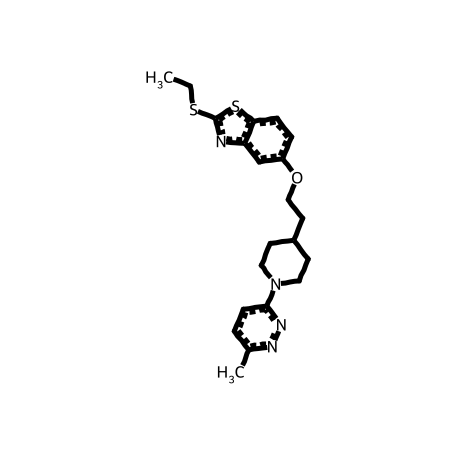 CCSc1nc2cc(OCCC3CCN(c4ccc(C)nn4)CC3)ccc2s1